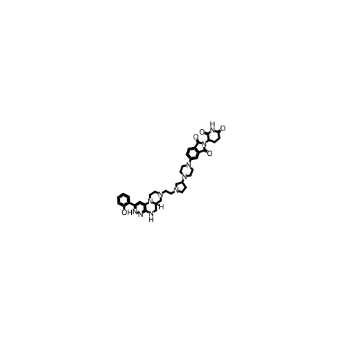 O=C1CCC(N2C(=O)c3ccc(N4CCN(C5CCN(CCN6CCN7c8cc(-c9ccccc9O)nnc8NC[C@H]7C6)C5)CC4)cc3C2=O)C(=O)N1